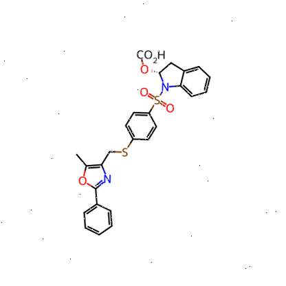 Cc1oc(-c2ccccc2)nc1CSc1ccc(S(=O)(=O)N2c3ccccc3C[C@H]2OC(=O)O)cc1